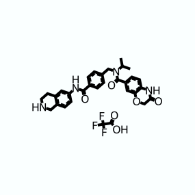 CC(C)N(Cc1ccc(C(=O)Nc2ccc3c(c2)CCNC3)cc1)C(=O)c1ccc2c(c1)OCC(=O)N2.O=C(O)C(F)(F)F